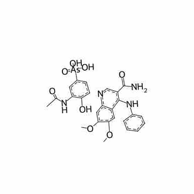 CC(=O)Nc1cc([As](=O)(O)O)ccc1O.COc1cc2ncc(C(N)=O)c(Nc3ccccc3)c2cc1OC